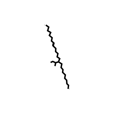 [CH2]CCCCCCC=CCCCCCC(CCCCCCCCC[CH2])C(C)CC